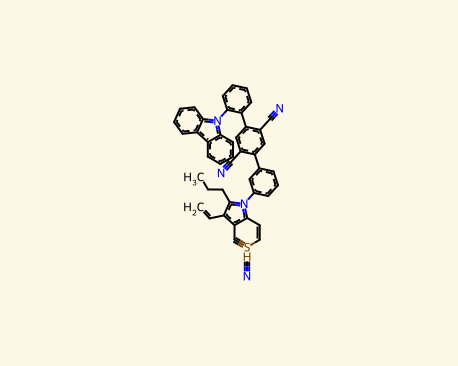 C=Cc1c2c(n(-c3cccc(-c4cc(C#N)c(-c5ccccc5-n5c6ccccc6c6ccccc65)cc4C#N)c3)c1CCC)C=C[SH](C#N)#C2